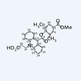 COC(=O)c1cc(C)c(OC(=O)c2c3ccccc3[n+](CCC(=O)O)c3ccccc23)c(C)c1